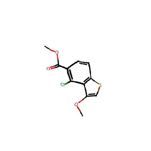 COC(=O)c1ccc2scc(OC)c2c1Cl